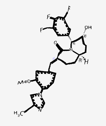 COc1cc(/C=C2\CC[C@@H]3CC[C@@H](O)[C@@H](c4cc(F)c(F)c(F)c4)N3C2=O)ccc1-n1cnc(C)c1